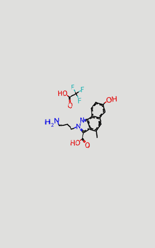 Cc1cc2cc(O)ccc2c2nn(CCCN)c(C(=O)O)c12.O=C(O)C(F)(F)F